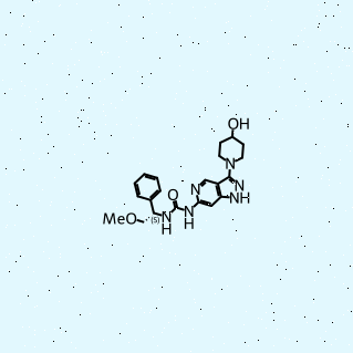 COC[C@@H](NC(=O)Nc1cc2[nH]nc(N3CCC(O)CC3)c2cn1)c1ccccc1